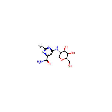 Cc1nc(N[C@H]2CO[C@H](CO)[C@H](O)[C@@H]2O)cc(C(N)=O)n1